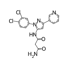 NC(=O)CC(=O)Nc1cc(-c2cccnc2)nn1-c1ccc(Cl)c(Cl)c1